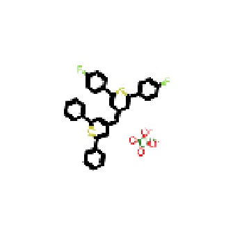 Fc1ccc(C2=CC(=Cc3cc(-c4ccccc4)[s+]c(-c4ccccc4)c3)C=C(c3ccc(F)cc3)S2)cc1.[O-][Cl+3]([O-])([O-])[O-]